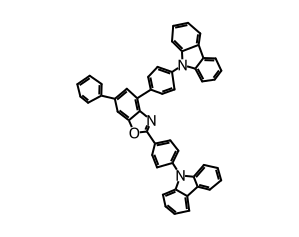 c1ccc(-c2cc(-c3ccc(-n4c5ccccc5c5ccccc54)cc3)c3nc(-c4ccc(-n5c6ccccc6c6ccccc65)cc4)oc3c2)cc1